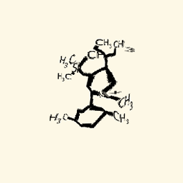 CCC(CC)c1c[n+](C)c(-c2cc(C)ccc2C)cc1[Si](C)(C)C